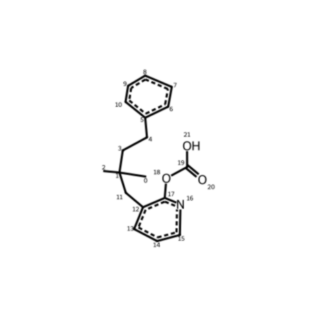 CC(C)(CCc1ccccc1)Cc1cccnc1OC(=O)O